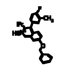 Cc1cc(-c2c(C(C)C)[n+](O)cc3cc(OCc4ccccc4)ccc23)ccc1F